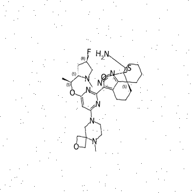 C[C@H](Oc1cc(N2CCN(C)C3(COC3)C2)nc(-c2onc3c2CCC[C@@]32CCCc3sc(N)c(C#N)c32)n1)[C@@H]1C[C@@H](F)CN1C